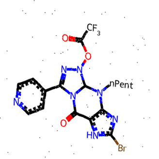 CCCCCN1c2nc(Br)[nH]c2C(=O)N2C(c3ccncc3)=NN(OC(=O)C(F)(F)F)C21